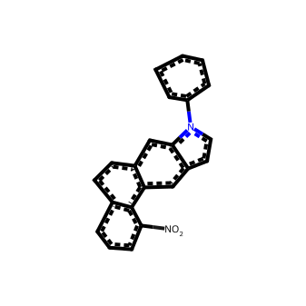 O=[N+]([O-])c1cccc2ccc3cc4c(ccn4-c4ccccc4)cc3c12